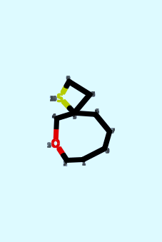 C1CCOCC2(CC1)CCS2